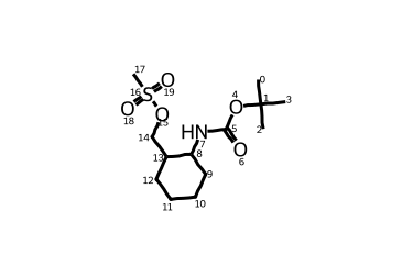 CC(C)(C)OC(=O)NC1CCCCC1COS(C)(=O)=O